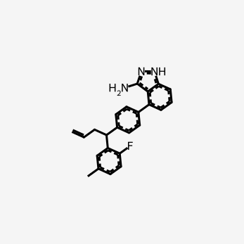 C=CCC(c1ccc(-c2cccc3[nH]nc(N)c23)cc1)c1cc(C)ccc1F